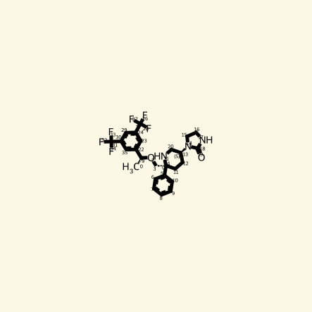 C[C@@H](OC[C@@]1(c2ccccc2)CC[C@H](N2CCNC2=O)CN1)c1cc(C(F)(F)F)cc(C(F)(F)F)c1